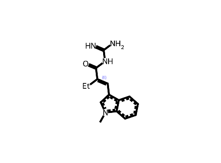 CC/C(=C\c1cn(C)c2ccccc12)C(=O)NC(=N)N